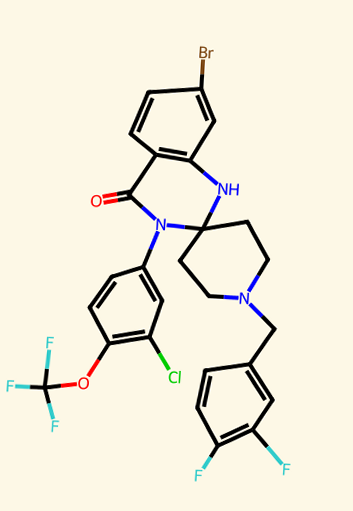 O=C1c2ccc(Br)cc2NC2(CCN(Cc3ccc(F)c(F)c3)CC2)N1c1ccc(OC(F)(F)F)c(Cl)c1